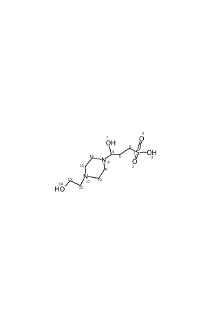 O=S(=O)(O)CCC(O)N1CCN(CCO)CC1